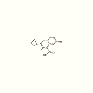 Cc1c(C(=O)O)c2cc(=O)ccc-2cn1C1CCC1